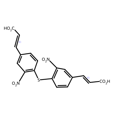 O=C(O)/C=C/c1ccc(Sc2ccc(/C=C/C(=O)O)cc2[N+](=O)[O-])c([N+](=O)[O-])c1